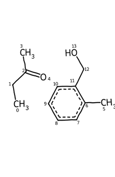 CCC(C)=O.Cc1ccccc1CO